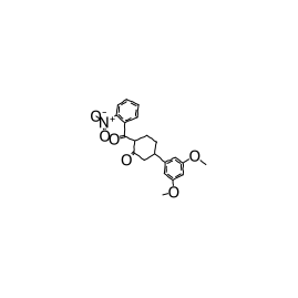 COc1cc(OC)cc(C2CCC(C(=O)c3ccccc3[N+](=O)[O-])C(=O)C2)c1